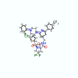 O=C(NCc1cc(-c2ccc(C(F)(F)F)cc2)nc(N2CCN(c3ccccc3F)CC2)c1)[C@@H]1CC(F)(F)CN1S(=O)(=O)c1ccc(Cl)s1